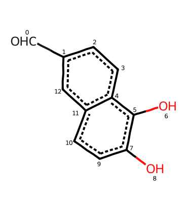 O=Cc1ccc2c(O)c(O)ccc2c1